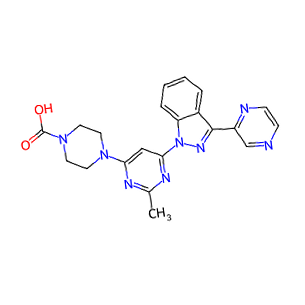 Cc1nc(N2CCN(C(=O)O)CC2)cc(-n2nc(-c3cnccn3)c3ccccc32)n1